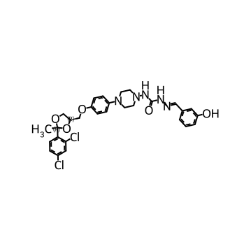 C[C@@]1(c2ccc(Cl)cc2Cl)OC[C@@H](COc2ccc(N3CCN(NC(=O)NN=Cc4cccc(O)c4)CC3)cc2)O1